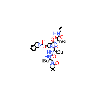 C=CCNC(=O)C(=O)C(CCCC)NC(=O)[C@@H]1C[C@@H](OC(=O)N2CCc3ccccc3C2)CN1C(=O)[C@@H](NC(=O)N[C@H](CN1CCC(C)(C)CC1=O)C(C)(C)C)C(C)(C)C